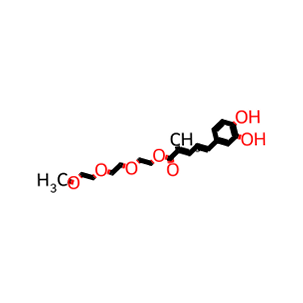 COCCOCCOCCOC(=O)/C(C)=C/C=C/c1ccc(O)c(O)c1